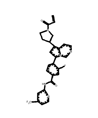 C=CC(=O)N1CCC(c2cc(-c3ccc(C(=O)Nc4cc(C(F)(F)F)ccn4)cc3F)n3cnccc23)C1